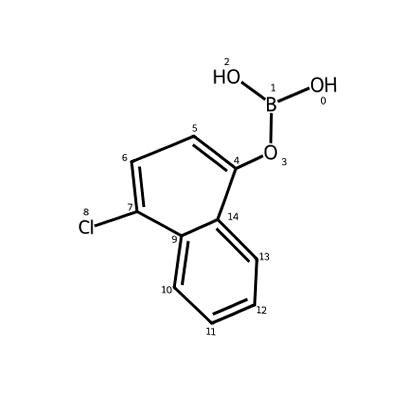 OB(O)Oc1ccc(Cl)c2ccccc12